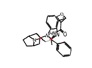 Cc1nc2c(F)cccc2n1C1CC2CCC(C1)N2CC[C@H](NC(=O)C1COC1)c1ccccc1